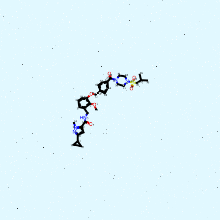 COc1c(CNC(=O)c2cc(C3CC3)nn2C)cccc1OCc1ccc(C(=O)N2CCN(S(=O)(=O)CC(C)C)CC2)cc1